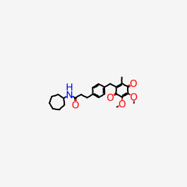 COC1=C(OC)C(=O)C(Cc2ccc(CCC(=O)NC3CCCCCC3)cc2)=C(C)C1=O